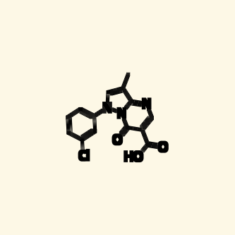 Cc1cn(-c2cccc(Cl)c2)n2c(=O)c(C(=O)O)cnc12